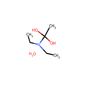 CCN(CC)C(C)(O)O.O